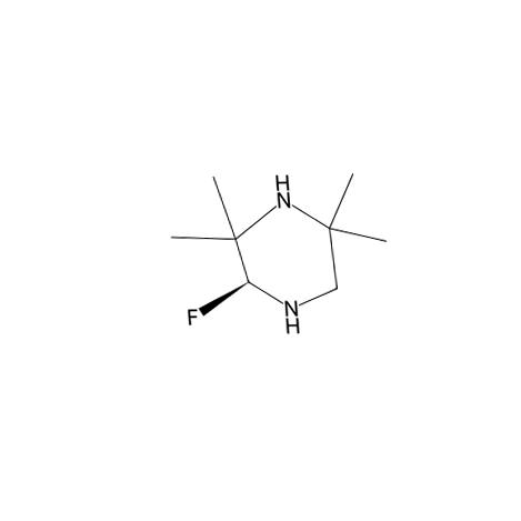 CC1(C)CN[C@@H](F)C(C)(C)N1